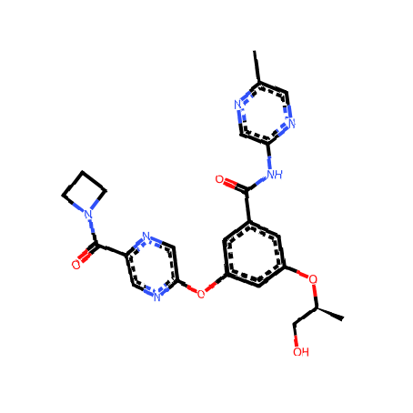 Cc1cnc(NC(=O)c2cc(Oc3cnc(C(=O)N4CCC4)cn3)cc(O[C@@H](C)CO)c2)cn1